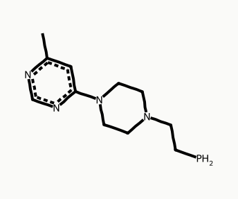 Cc1cc(N2CCN(CCP)CC2)ncn1